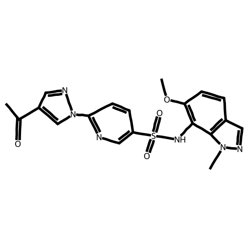 COc1ccc2cnn(C)c2c1NS(=O)(=O)c1ccc(-n2cc(C(C)=O)cn2)nc1